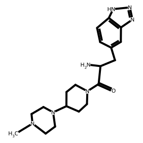 CN1CCN(C2CCN(C(=O)C(N)Cc3ccc4[nH]nnc4c3)CC2)CC1